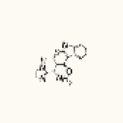 Cn1c2c(c3ccccc31)C(=O)C(C(N)C1=NCCN1)CS2